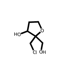 OCC1(CCl)OCCC1O